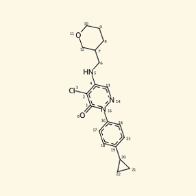 O=c1c(Cl)c(NCC2CCCOC2)cnn1-c1ccc(C2CC2)cc1